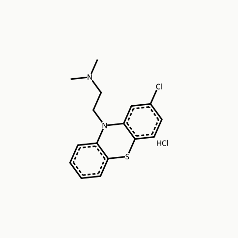 CN(C)CCN1c2ccccc2Sc2ccc(Cl)cc21.Cl